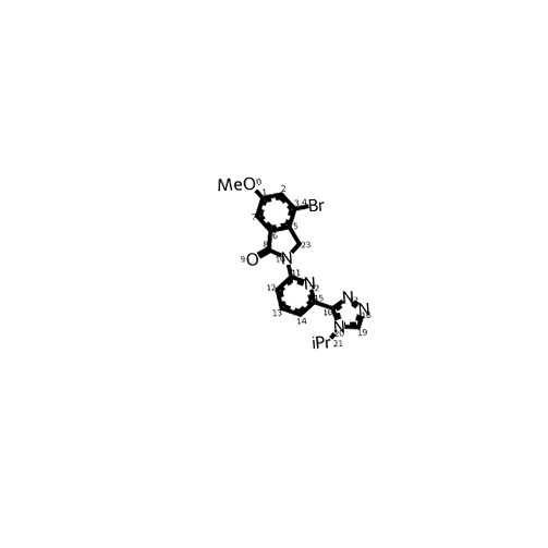 COc1cc(Br)c2c(c1)C(=O)N(c1cccc(-c3nncn3C(C)C)n1)C2